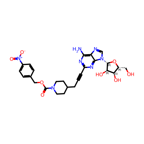 Nc1nc(C#CCC2CCN(C(=O)OCc3ccc([N+](=O)[O-])cc3)CC2)nc2c1ncn2[C@@H]1O[C@H](CO)[C@@H](O)[C@H]1O